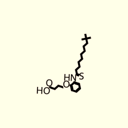 CC(C)(C)CCCCCCCCC(=S)Nc1ccccc1OCCCC(=O)O